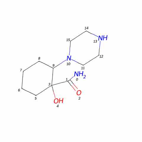 NC(=O)C1(O)CCCCC1N1CCNCC1